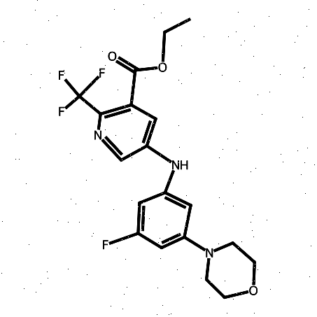 CCOC(=O)c1cc(Nc2cc(F)cc(N3CCOCC3)c2)cnc1C(F)(F)F